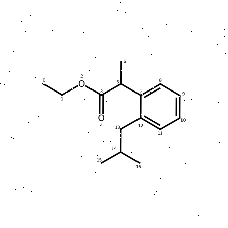 CCOC(=O)C(C)c1ccccc1CC(C)C